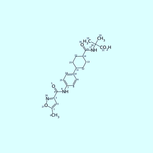 Cc1cc(C(=O)Nc2ccc(C3CCC(C(=O)NC(C)(C)C(=O)O)CC3)cc2)no1